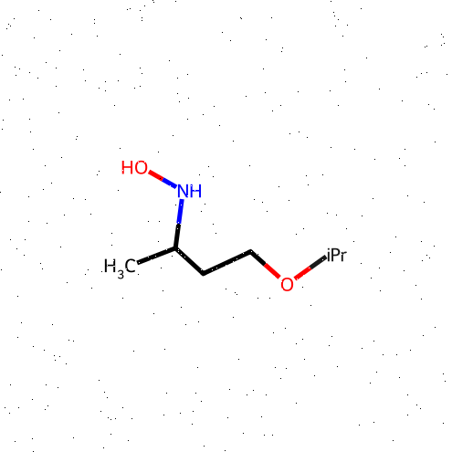 CC(CCOC(C)C)NO